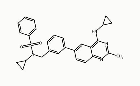 Cc1nc(NC2CC2)c2cc(-c3cccc(CN(C4CC4)S(=O)(=O)c4ccccc4)c3)ccc2n1